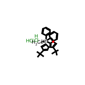 CC(C)(C)C1=CC[C]([Hf](=[GeH2])([C]2=CC(C(C)(C)C)=CC2)([c]2ccccc2)[c]2ccccc2)=C1.Cl.Cl